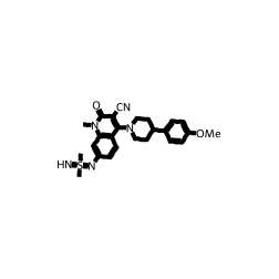 COc1ccc(C2CCN(c3c(C#N)c(=O)n(C)c4cc(N=S(C)(C)=N)ccc34)CC2)cc1